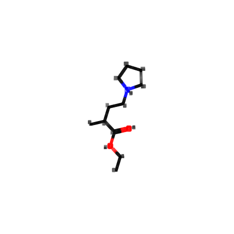 CCOC(=O)C(C)CCN1CCCC1